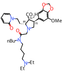 CCCCN(CCCCN(CC)CC)C(=O)CN1C[C@H](c2cc(OC)c3c(c2)OCO3)[C@H](C(=O)O)[C@H]1CCn1ccccc1=O